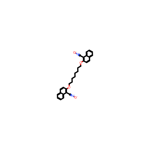 [O-][N+]#Cc1c(OCCCCCCCCOc2ccc3ccccc3c2C#[N+][O-])ccc2ccccc12